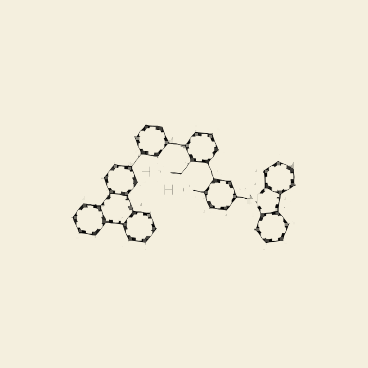 CCc1c(-c2cccc(-c3ccc4c5ccccc5c5ccccc5c4c3)c2)cccc1-c1cc(-n2c3ccccc3c3ccccc32)ccc1C